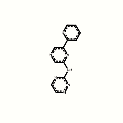 c1ccc(-c2cncc(Nc3nccnn3)n2)nc1